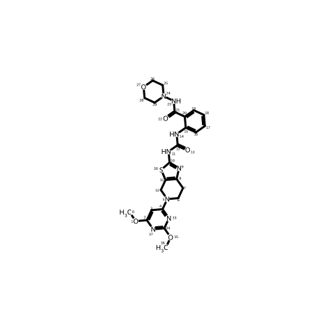 COc1cc(N2CCc3nc(NC(=O)Nc4ccccc4C(=O)NN4CCOCC4)sc3C2)nc(OC)n1